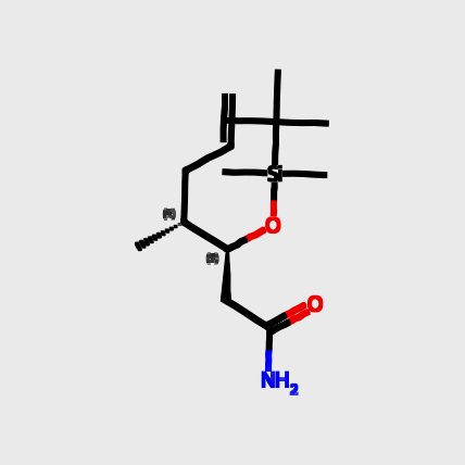 C=CC[C@@H](C)[C@H](CC(N)=O)O[Si](C)(C)C(C)(C)C